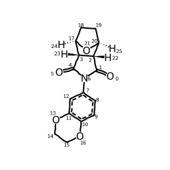 O=C1[C@@H]2[C@H](C(=O)N1c1ccc3c(c1)OCCO3)[C@H]1CC[C@@H]2O1